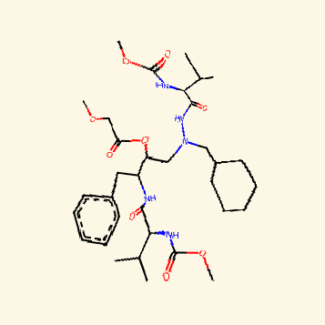 COCC(=O)OC(CN(CC1CCCCC1)NC(=O)[C@@H](NC(=O)OC)C(C)C)C(Cc1ccccc1)NC(=O)[C@@H](NC(=O)OC)C(C)C